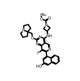 CC(C)(C)OC(=O)N1CC(Nc2nc(OCC34CCCN3CCC4)nc3c(F)c(-c4cc(O)cc5ccccc45)ncc23)C1